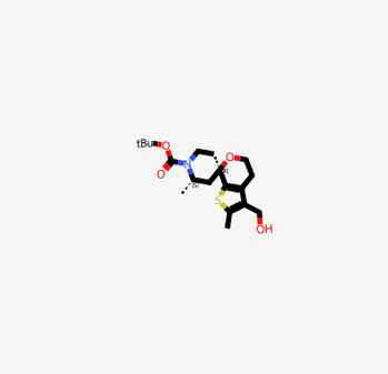 Cc1sc2c(c1CO)CCO[C@@]21CCN(C(=O)OC(C)(C)C)[C@@H](C)C1